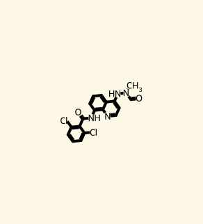 CN(C=O)Nc1ccnc2c(NC(=O)c3c(Cl)cccc3Cl)cccc12